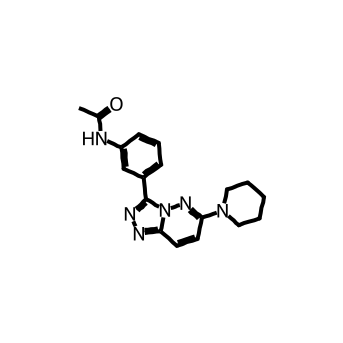 CC(=O)Nc1cccc(-c2nnc3ccc(N4CCCCC4)nn23)c1